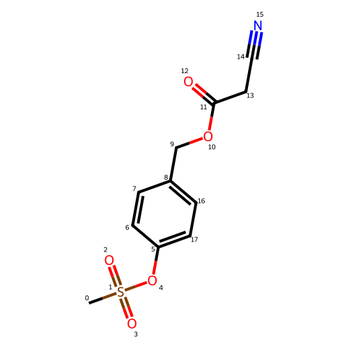 CS(=O)(=O)Oc1ccc(COC(=O)CC#N)cc1